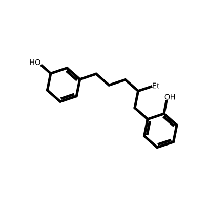 CCC(CCCC1=CC(O)CC=C1)Cc1ccccc1O